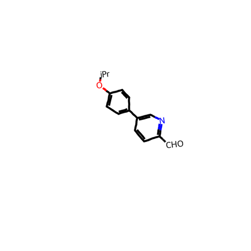 CC(C)Oc1ccc(-c2ccc(C=O)nc2)cc1